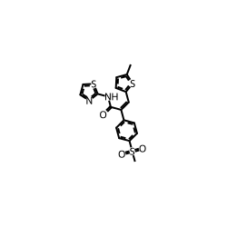 Cc1ccc(C=C(C(=O)Nc2nccs2)c2ccc(S(C)(=O)=O)cc2)s1